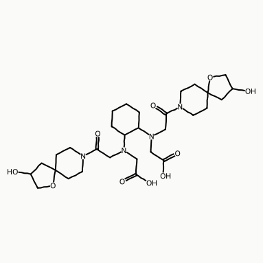 O=C(O)CN(CC(=O)N1CCC2(CC1)CC(O)CO2)C1CCCCC1N(CC(=O)O)CC(=O)N1CCC2(CC1)CC(O)CO2